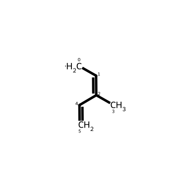 [CH2]/C=C(/C)C=C